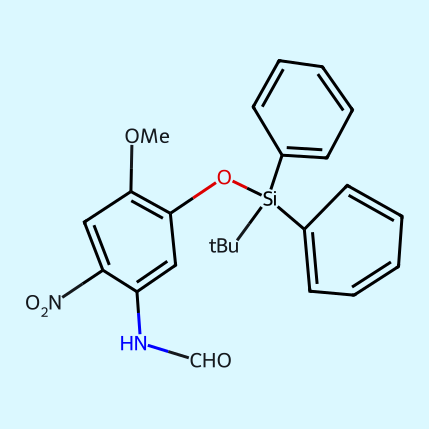 COc1cc([N+](=O)[O-])c(NC=O)cc1O[Si](c1ccccc1)(c1ccccc1)C(C)(C)C